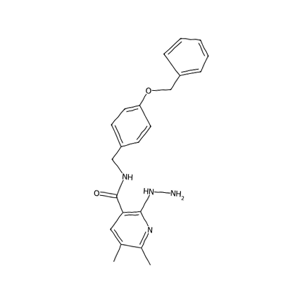 Cc1cc(C(=O)NCc2ccc(OCc3ccccc3)cc2)c(NN)nc1C